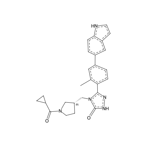 Cc1cc(-c2ccc3[nH]ccc3c2)ccc1-c1n[nH]c(=O)n1C[C@@H]1CCN(C(=O)C2CC2)C1